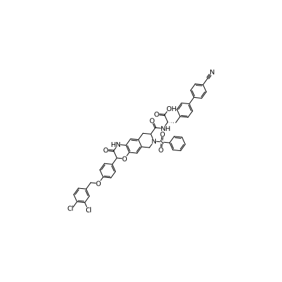 N#Cc1ccc(-c2ccc(C[C@H](NC(=O)C3Cc4cc5c(cc4CN3S(=O)(=O)c3ccccc3)OC(c3ccc(OCc4ccc(Cl)c(Cl)c4)cc3)C(=O)N5)C(=O)O)cc2)cc1